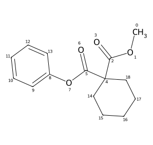 COC(=O)C1(C(=O)Oc2ccccc2)CCCCC1